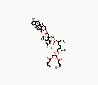 CC/C=C\CC(=O)OCC(COC(=O)C/C=C\CC)OC(=O)CC(C)CCC(C)CC(=O)Oc1cc(C)cc(C)c1C(C)(C)CC(=O)O[C@@H]1CC[C@@]2(C)[C@@H](CC[C@@H]3[C@@H]2CC[C@]2(C)[C@@H](C(C)=O)CC[C@@H]32)C1